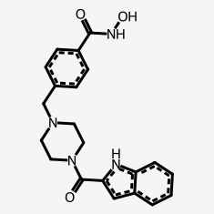 O=C(NO)c1ccc(CN2CCN(C(=O)c3cc4ccccc4[nH]3)CC2)cc1